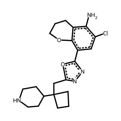 Nc1c(Cl)cc(-c2nnc(CC3(C4CCNCC4)CCC3)o2)c2c1CCCO2